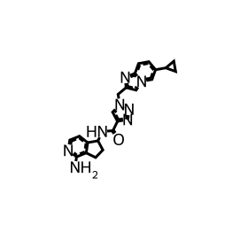 Nc1nccc2c1CCC2NC(=O)c1cn(Cc2cn3cc(C4CC4)ccc3n2)nn1